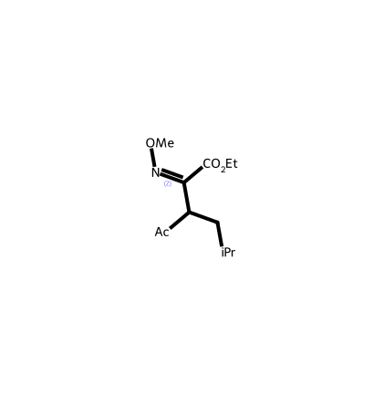 CCOC(=O)/C(=N\OC)C(CC(C)C)C(C)=O